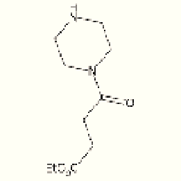 CCOC(=O)CCC(=O)N1CCNCC1